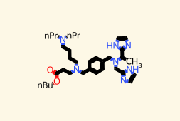 CCCCOC(=O)CCN(CCCCN(CCC)CCC)Cc1ccc(CN(Cc2ncc[nH]2)C(C)c2ncc[nH]2)cc1